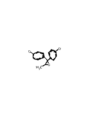 CC1OC1(c1ccc(Cl)cc1)c1ccc(Cl)cc1